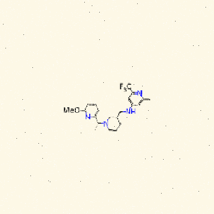 COc1cccc([C@@H](C)N2CCC[C@H](CNc3cc(C)nc(C(F)(F)F)c3)C2)n1